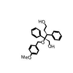 COc1ccc(CO[C@](CO)(c2ccccc2)[C@@H](CCO)c2ccccc2)cc1